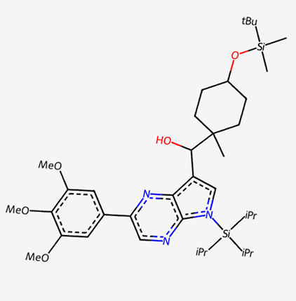 COc1cc(-c2cnc3c(n2)c(C(O)C2(C)CCC(O[Si](C)(C)C(C)(C)C)CC2)cn3[Si](C(C)C)(C(C)C)C(C)C)cc(OC)c1OC